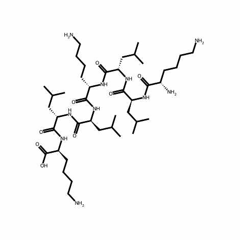 CC(C)C[C@H](NC(=O)[C@H](CC(C)C)NC(=O)[C@H](CCCCN)NC(=O)[C@H](CC(C)C)NC(=O)[C@H](CC(C)C)NC(=O)[C@@H](N)CCCCN)C(=O)N[C@@H](CCCCN)C(=O)O